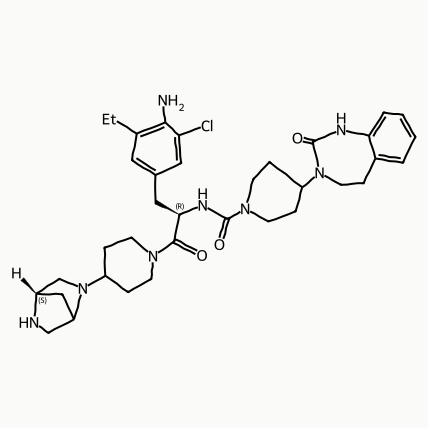 CCc1cc(C[C@@H](NC(=O)N2CCC(N3CCc4ccccc4NC3=O)CC2)C(=O)N2CCC(N3C[C@@H]4CC3CN4)CC2)cc(Cl)c1N